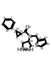 O=C([C@H]1C[C@@H]1c1ccccc1)N(Cc1cccs1)C1CNNC1